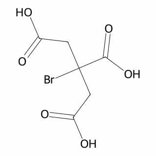 O=C(O)CC(Br)(CC(=O)O)C(=O)O